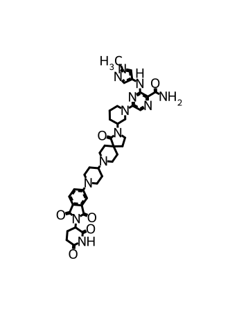 Cn1cc(Nc2nc(N3CCCC(N4CCC5(CCN(C6CCN(c7ccc8c(c7)C(=O)N(C7CCC(=O)NC7=O)C8=O)CC6)CC5)C4=O)C3)cnc2C(N)=O)cn1